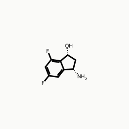 N[C@H]1C[C@@H](O)c2c(F)cc(F)cc21